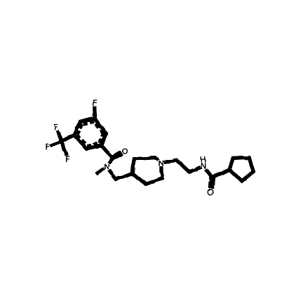 CN(CC1CCN(CCNC(=O)C2CCCC2)CC1)C(=O)c1cc(F)cc(C(F)(F)F)c1